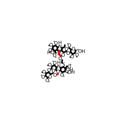 COCC1O[C@H](CO)C(OC)[C@@H](OC)[C@@H]1O[C@H]1OC(C)[C@@H](N[C@@H]2C(OC)[C@@H](OC)[C@H](OC)C(O)(COC)C2SCCOCCSC2[C@@H](N[C@H]3C(C)O[C@@H](O[C@H]4C(COC)O[C@@H](OC)C(OC)[C@@H]4OC)C(OC)[C@@H]3OC)C(OC)[C@H](OC)[C@@H](CO)C2(O)COC)[C@H](OC)C1OC